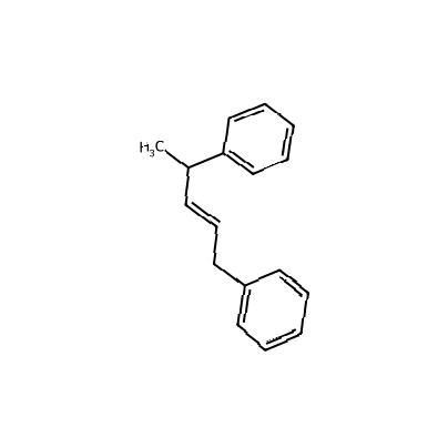 CC(C=CCc1ccccc1)c1ccccc1